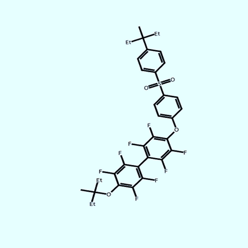 CCC(C)(CC)Oc1c(F)c(F)c(-c2c(F)c(F)c(Oc3ccc(S(=O)(=O)c4ccc(C(C)(CC)CC)cc4)cc3)c(F)c2F)c(F)c1F